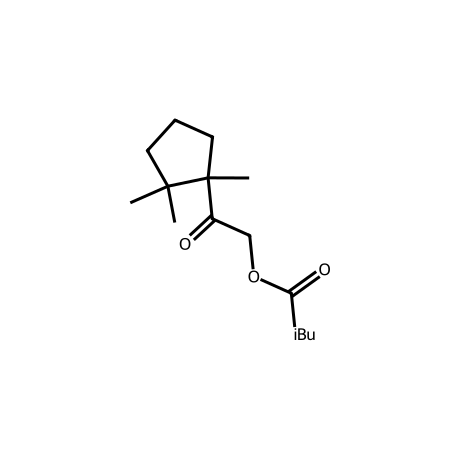 CCC(C)C(=O)OCC(=O)C1(C)CCCC1(C)C